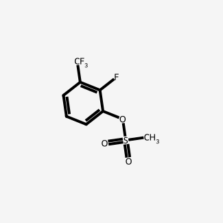 CS(=O)(=O)Oc1cccc(C(F)(F)F)c1F